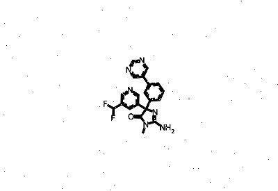 CN1C(=O)C(c2cccc(-c3cncnc3)c2)(c2cncc(C(F)F)c2)N=C1N